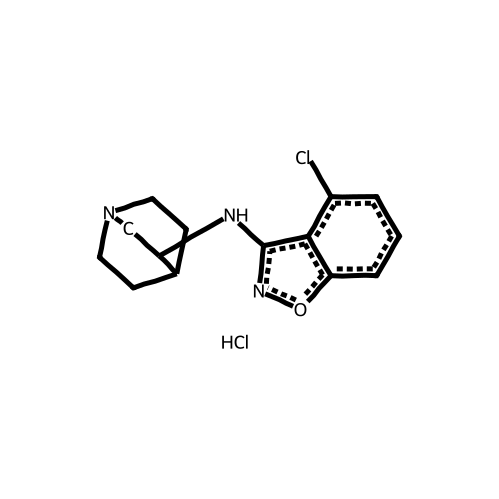 Cl.Clc1cccc2onc(NC3CN4CCC3CC4)c12